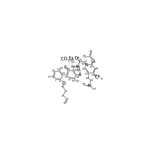 C=CCCCOc1cc(C)cc(C)c1-c1cc(C)c(F)c([C@H](CC(=O)OCC)NC(=O)[C@H](CC=C)n2cc(CCN(C)C)c(C(F)(F)F)cc2=O)c1F